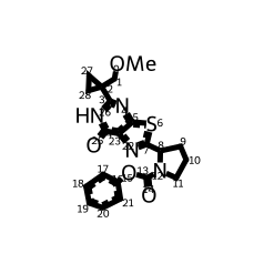 COCC1(c2nc3sc(C4CCCN4C(=O)Oc4ccccc4)nc3c(=O)[nH]2)CC1